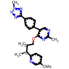 COc1ccc([C@@H](C)[C@H](C)COc2nc(C)ncc2-c2ccc(-c3nnn(C)n3)cc2)nc1